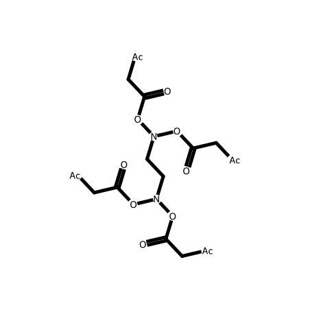 CC(=O)CC(=O)ON(CCN(OC(=O)CC(C)=O)OC(=O)CC(C)=O)OC(=O)CC(C)=O